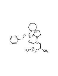 COC(=O)[C@H](CC(C)C)N1CC[C@@]2(CCCCN2C(=O)OCc2ccccc2)C1=O